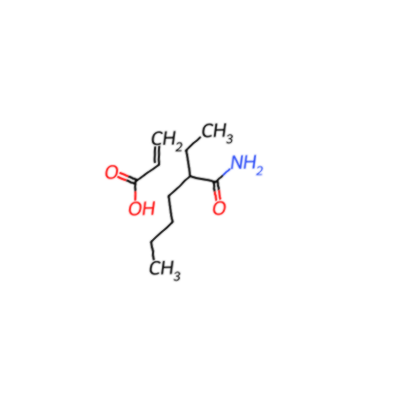 C=CC(=O)O.CCCCC(CC)C(N)=O